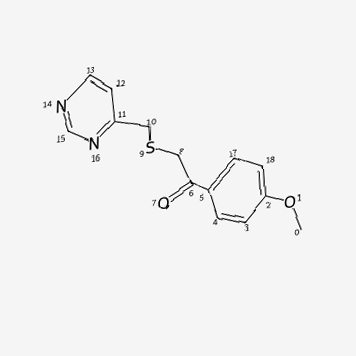 COc1ccc(C(=O)CSCc2ccncn2)cc1